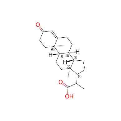 CC(C(=O)O)[C@H]1CC[C@H]2[C@@H]3CCC4=CC(=O)CC[C@]4(C)[C@H]3CC[C@]12C